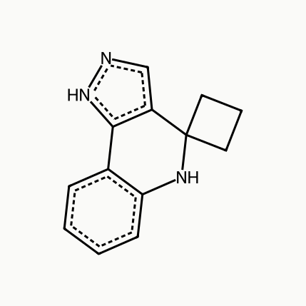 c1ccc2c(c1)NC1(CCC1)c1cn[nH]c1-2